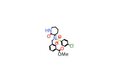 COC(=O)c1cccc(CN([C@@H]2CCCCNC2=O)S(=O)(=O)c2ccc(Cl)cc2)c1